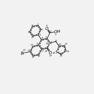 O=C(O)c1c(-c2ccccc2)c2cc(Br)ccc2c(=O)n1Cc1cccs1